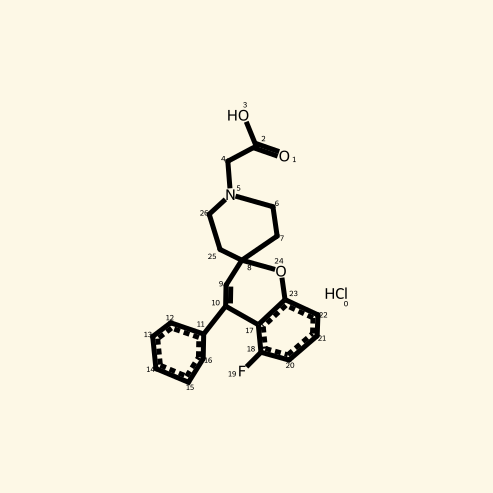 Cl.O=C(O)CN1CCC2(C=C(c3ccccc3)c3c(F)cccc3O2)CC1